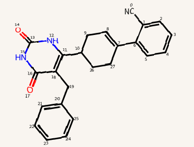 N#Cc1ccccc1C1=CCC(c2[nH]c(=O)[nH]c(=O)c2Cc2ccccc2)CC1